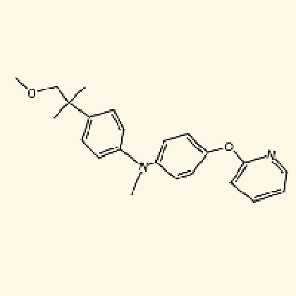 COCC(C)(C)c1ccc(N(C)c2ccc(Oc3ccccn3)cc2)cc1